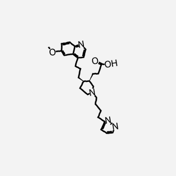 COc1ccc2nccc(CCC[C@@H]3CCN(CCCCc4cccnn4)C[C@@H]3CCC(=O)O)c2c1